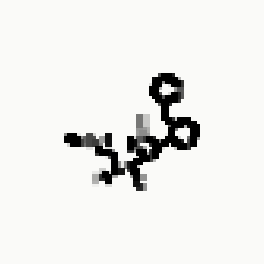 C#CNCCN(CCC)C(=O)c1cc(-c2ccccc2Cc2ccccc2)[nH]n1